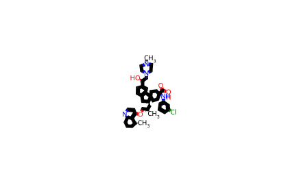 C[C@@H](COc1ccnc2c1[C@H](C)CCC2)C[C@H]1Cc2ccc([C@@H](O)CN3CCN(C)CC3)cc2C12CCC(Nc1cccc(Cl)c1)(C(=O)O)CC2